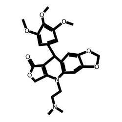 COc1cc(C2C3=C(COC3=O)N(CCN(C)C)c3cc4c(cc32)OCO4)cc(OC)c1OC